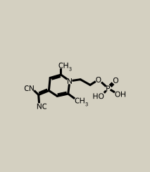 [C-]#[N+]C([N+]#[C-])=C1C=C(C)N(CCOP(=O)(O)O)C(C)=C1